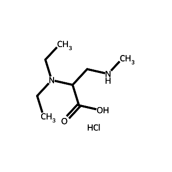 CCN(CC)C(CNC)C(=O)O.Cl